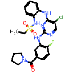 CCS(=O)(=O)Nc1ccccc1Nc1nc(Nc2cc(C(=O)N3CCCC3)ccc2F)ncc1Cl